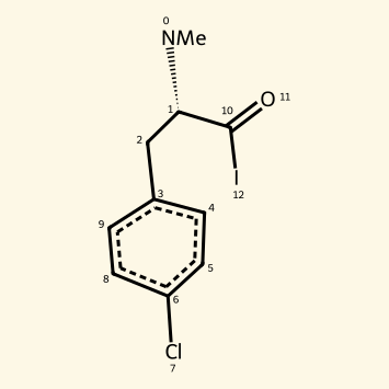 CN[C@@H](Cc1ccc(Cl)cc1)C(=O)I